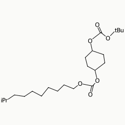 CC(C)CCCCCCCCOC(=O)OC1CCC(OC(=O)OC(C)(C)C)CC1